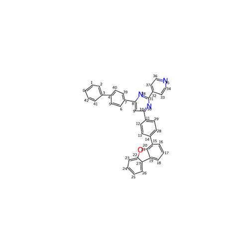 c1ccc(-c2ccc(-c3cc(-c4ccc(-c5cccc6c5oc5ccccc56)cc4)nc(-c4ccncc4)n3)cc2)cc1